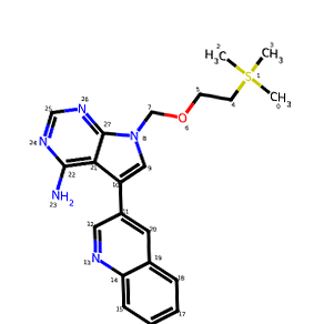 CS(C)(C)CCOCn1cc(-c2cnc3ccccc3c2)c2c(N)ncnc21